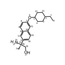 CCC1CCC(Oc2ccc3cc([C@@](C)(N)CO)ccc3c2)CC1